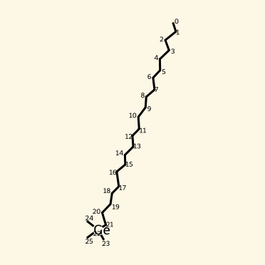 CCCCCCCCCCCCCCCCCCCCC[CH][Ge]([CH3])([CH3])[CH3]